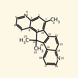 Cc1cc2ncccc2c2c1-c1ccc3ncccc3c1C2(C)C